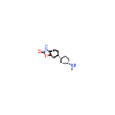 CN[C@H]1CC[C@H](c2ccc3[nH]c(=O)oc3c2)CC1